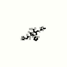 Cc1nnc(SCC2=C(C(=O)O)N3C(=O)[C@@H](NC(=O)Cn4cnnn4)[C@H]3SC2)s1.c1cc[nH]c1